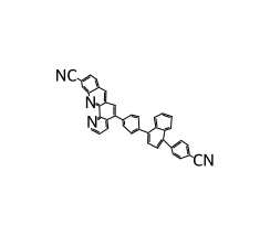 N#Cc1ccc(-c2ccc(-c3ccc(-c4cc5cc6ccc(C#N)cc6nc5c5ncccc45)cc3)c3ccccc23)cc1